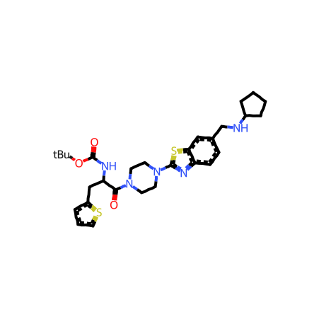 CC(C)(C)OC(=O)NC(Cc1cccs1)C(=O)N1CCN(c2nc3ccc(CNC4CCCC4)cc3s2)CC1